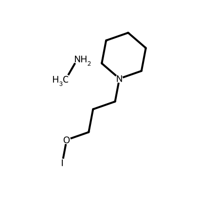 CN.IOCCCN1CCCCC1